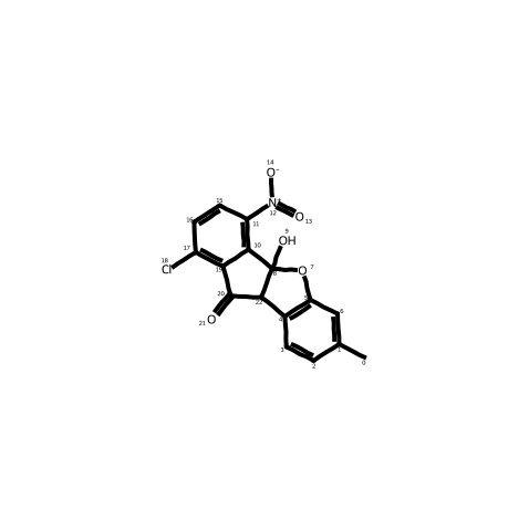 Cc1ccc2c(c1)OC1(O)c3c([N+](=O)[O-])ccc(Cl)c3C(=O)C21